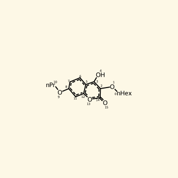 CCCCCCOc1c(O)c2ccc(OCCC)cc2oc1=O